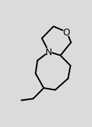 CCC1CCCC2COCCN2CC1